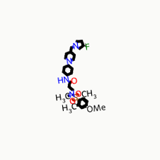 COc1cc(C)c(S(=O)(=O)N(C)CCC(=O)N[C@H]2CC[C@H](N3CCC(CN4CC[C@H](F)C4)CC3)CC2)c(C)c1